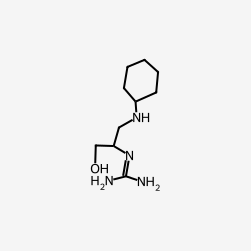 NC(N)=NC(CO)CNC1CCCCC1